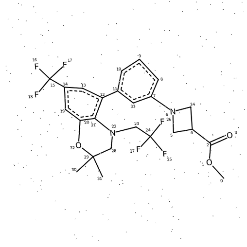 COC(=O)C1CN(c2cccc(-c3cc(C(F)(F)F)cc4c3N(CC(F)(F)F)CC(C)(C)O4)c2)C1